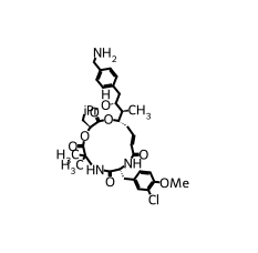 COc1ccc(C[C@H]2NC(=O)/C=C/C[C@@H]([C@H](C)[C@H](O)Cc3ccc(CN)cc3)OC(=O)[C@H](CC(C)C)OC(=O)C(C)(C)CNC2=O)cc1Cl